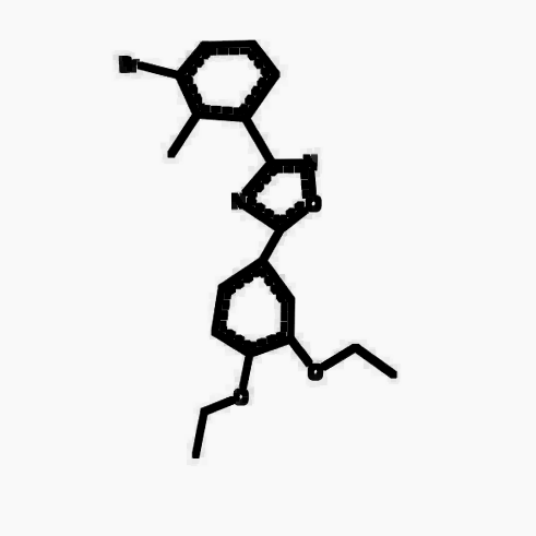 CCOc1ccc(-c2nc(-c3cccc(Br)c3C)no2)cc1OCC